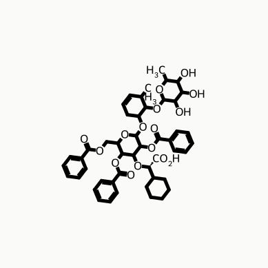 CC1C=CCC(OC2OC(COC(=O)c3ccccc3)C(OC(=O)c3ccccc3)C(O[C@H](C(=O)O)C3CCCCC3)C2OC(=O)c2ccccc2)C1OC1OC(C)C(O)C(O)C1O